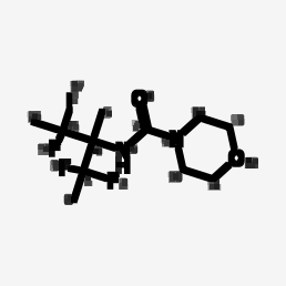 CC(F)(F)C(C)(NC(=O)N1CCOCC1)C(C)(F)F